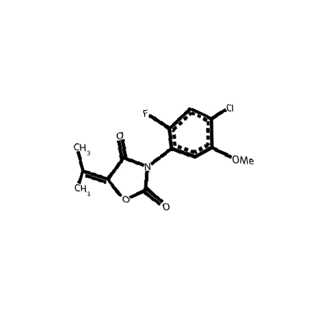 COc1cc(N2C(=O)OC(=C(C)C)C2=O)c(F)cc1Cl